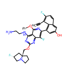 C#Cc1c(F)ccc2cc(O)cc(-c3nc(OC(C)C)c4c(NCCN)nc(OC[C@@]56CCCN5C[C@H](F)C6)nc4c3F)c12